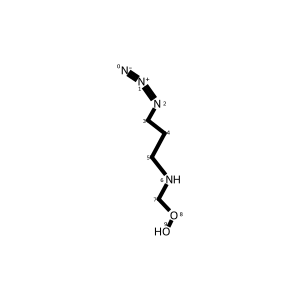 [N-]=[N+]=NCCCNCOO